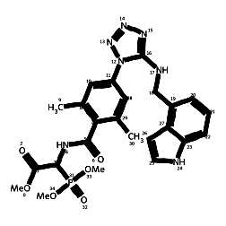 COC(=O)C(NC(=O)c1c(C)cc(-n2nnnc2NCc2cccc3[nH]ccc23)cc1C)P(=O)(OC)OC